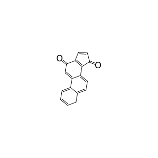 O=C1C=c2c(ccc3c2=CC=CC3)C2=C1C=CC2=O